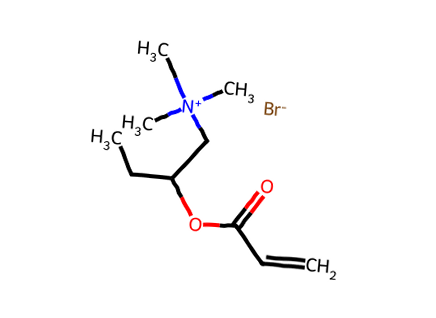 C=CC(=O)OC(CC)C[N+](C)(C)C.[Br-]